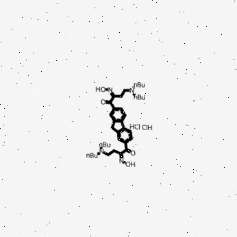 CCCCN(CCCC)CC/C(=N/O)C(=O)c1ccc2c(c1)Cc1cc(C(=O)/C(CCN(CCCC)CCCC)=N\O)ccc1-2.Cl.Cl